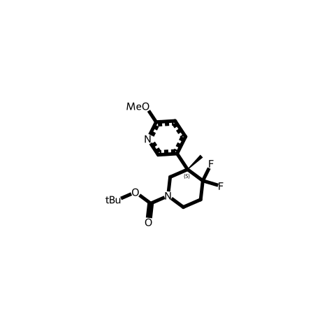 COc1ccc([C@@]2(C)CN(C(=O)OC(C)(C)C)CCC2(F)F)cn1